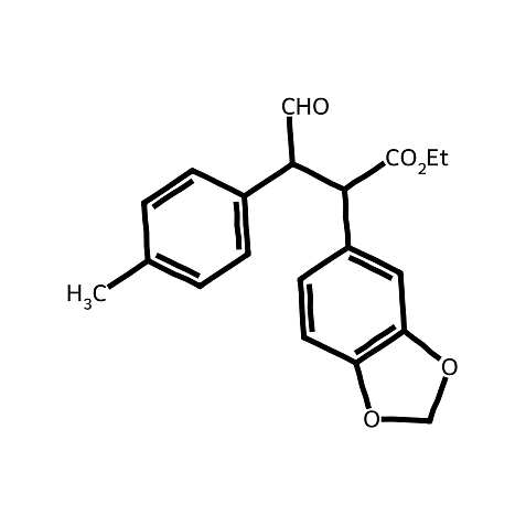 CCOC(=O)C(c1ccc2c(c1)OCO2)C(C=O)c1ccc(C)cc1